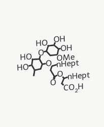 CCCCCCCC(CC(=O)O)OC(=O)CC(CCCCCCC)OC1CC(C)C(O)C(O)C1OC1CC(OC)C(O)C(O)C1O